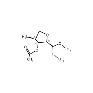 COC(OC)[C@@H]1OC[C@H](N)[C@H]1OC(C)=O